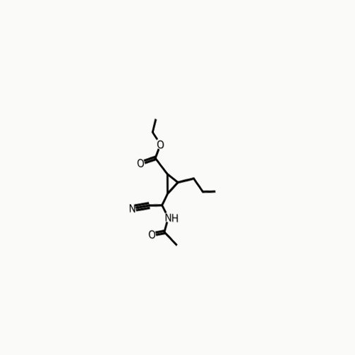 CCCC1C(C(=O)OCC)C1C(C#N)NC(C)=O